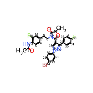 CC(=O)Nc1ccc(CCN2C(=O)[C@@H](C)O[C@H]2c2cn(-c3ccc(Br)cc3)nc2-c2ccc(F)cc2)cc1F